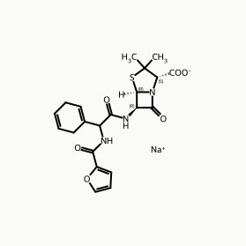 CC1(C)S[C@@H]2[C@H](NC(=O)C(NC(=O)c3ccco3)C3=CCC=CC3)C(=O)N2[C@H]1C(=O)[O-].[Na+]